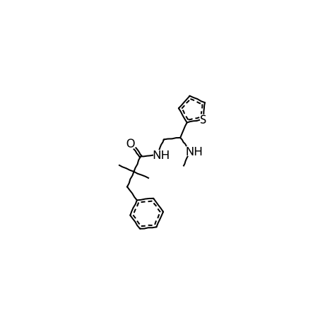 CNC(CNC(=O)C(C)(C)Cc1ccccc1)c1cccs1